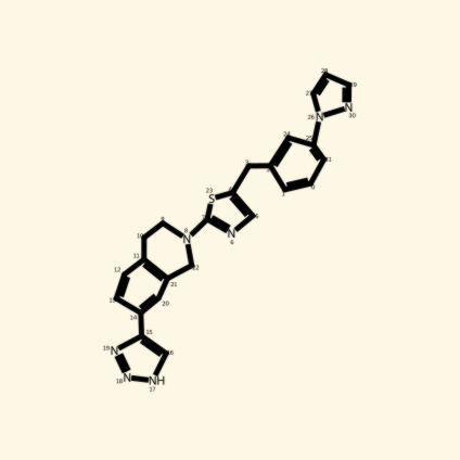 c1cc(Cc2cnc(N3CCc4ccc(-c5c[nH]nn5)cc4C3)s2)cc(-n2cccn2)c1